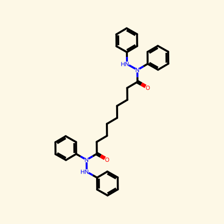 O=C(CCCCCCCC(=O)N(Nc1ccccc1)c1ccccc1)N(Nc1ccccc1)c1ccccc1